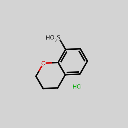 Cl.O=S(=O)(O)c1cccc2c1OCCC2